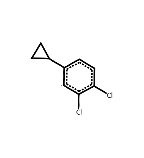 Clc1[c]c(C2CC2)ccc1Cl